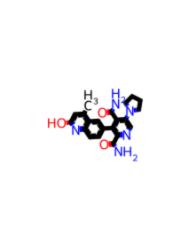 Cc1cc(O)nc2ccc(-c3c(C(N)=O)ncc(N4CCCC4)c3C(N)=O)cc12